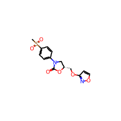 CS(=O)(=O)c1ccc(N2C[C@H](COc3ccon3)OC2=O)cc1